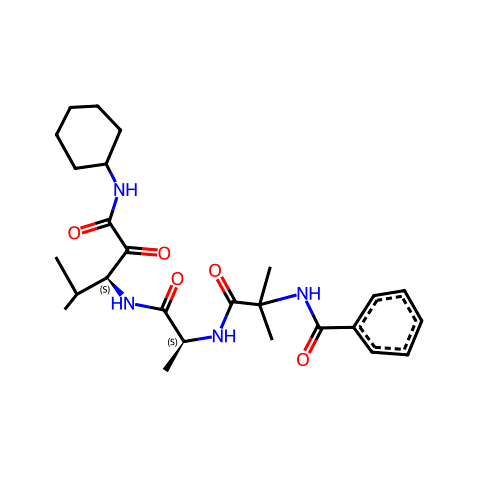 CC(C)[C@H](NC(=O)[C@H](C)NC(=O)C(C)(C)NC(=O)c1ccccc1)C(=O)C(=O)NC1CCCCC1